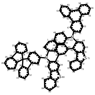 c1ccc(N(c2ccc3c(c2)-c2ccccc2C32c3ccccc3-c3ccccc32)c2cc3c(cc2-c2cccc(-c4c(N(c5ccccc5)c5ccc6c7ccccc7c7ccccc7c6c5)ccc5sc6ccccc6c45)c2)sc2ccccc23)cc1